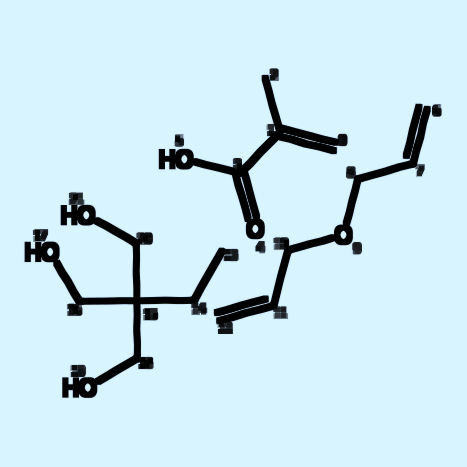 C=C(C)C(=O)O.C=CCOCC=C.CCC(CO)(CO)CO